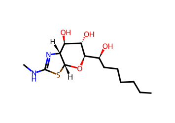 CCCCCC[C@H](O)[C@H]1O[C@@H]2SC(NC)=N[C@@H]2[C@@H](O)[C@@H]1O